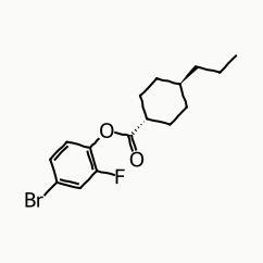 CCC[C@H]1CC[C@H](C(=O)Oc2ccc(Br)cc2F)CC1